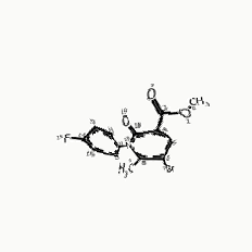 COC(=O)c1cc(Br)c(C)n(-c2ccc(F)cc2)c1=O